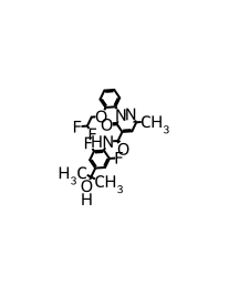 Cc1cc(C(=O)Nc2c(F)cc(C(C)(C)O)cc2F)c(=O)n(-c2ccccc2OCC(F)F)n1